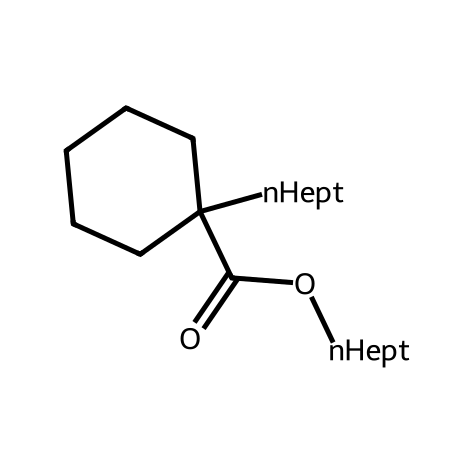 CCCCCCCOC(=O)C1(CCCCCCC)CCCCC1